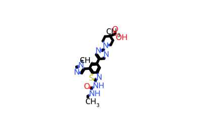 CCNC(=O)Nc1nc2cc(-c3cnc(N4CCC(C)(C(=O)O)CC4)nc3)cc(-c3cncn3C)c2s1